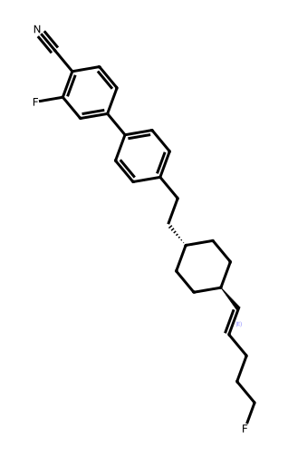 N#Cc1ccc(-c2ccc(CC[C@H]3CC[C@H](/C=C/CCCF)CC3)cc2)cc1F